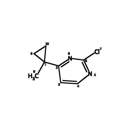 CC1(c2ccnc(Cl)n2)CC1